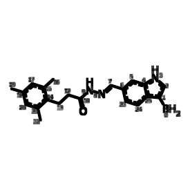 Bc1c[nH]c2cc(/C=N/NC(=O)CCc3c(C)cc(C)cc3C)ccc12